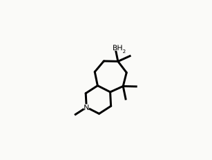 BC1(C)CCC2CN(C)CCC2C(C)(C)C1